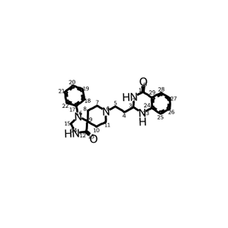 O=C1NC(CCN2CCC3(CC2)C(=O)NCN3c2ccccc2)Nc2ccccc21